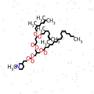 CCCCC/C=C\C/C=C\CCCCCCCC(=O)OCC(COC(=O)CCC(OCCC(C)CCC=C(C)C)OCCC(C)CCC=C(C)C)COC(=O)OCCC1CCCN(C)C1